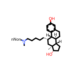 CCCCCCCCCN(C)CCCCC[C@H]1C[C@]2(C)[C@@H](O)CC[C@H]2[C@@H]2CCc3cc(O)ccc3[C@@H]12